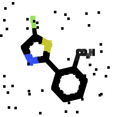 O=C(O)c1ccccc1-c1ncc(F)s1